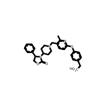 Cc1nc(Oc2ccc(CC(=O)O)cc2)ccc1CN1CCC(N2C(=O)OCC2c2ccccc2)CC1